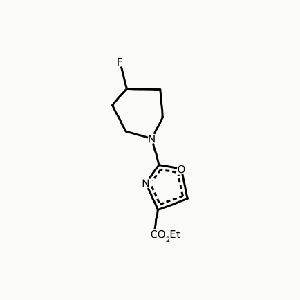 CCOC(=O)c1coc(N2CCC(F)CC2)n1